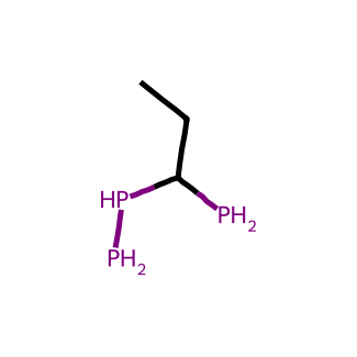 CCC(P)PP